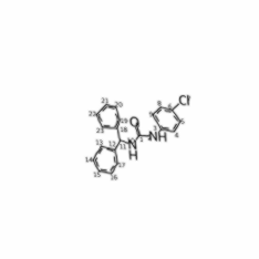 O=C(Nc1ccc(Cl)cc1)NC(c1ccccc1)c1ccccc1